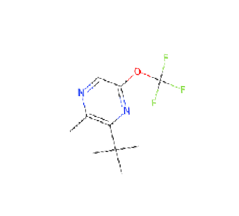 Cc1ncc(OC(F)(F)F)nc1C(C)(C)C